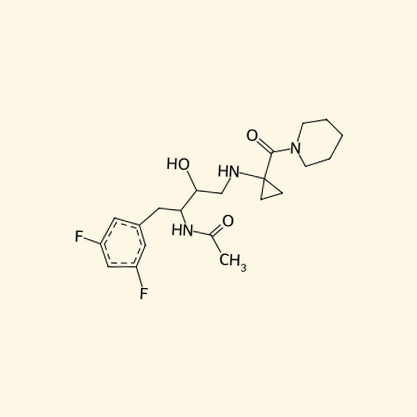 CC(=O)NC(Cc1cc(F)cc(F)c1)C(O)CNC1(C(=O)N2CCCCC2)CC1